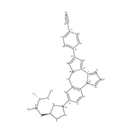 CC[C@@H](C)N(C)C[C@@H]1CCN(c2ccc3c(c2)Cn2cc(-c4ccc(C#N)cc4)cc2-c2nncn2-3)C1